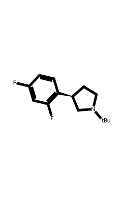 CC(C)(C)N1CC[C@H](c2ccc(F)cc2F)C1